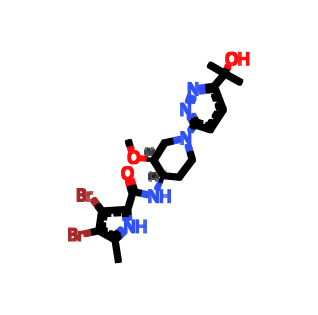 CO[C@H]1CN(c2ccc(C(C)(C)O)nn2)CC[C@H]1NC(=O)c1[nH]c(C)c(Br)c1Br